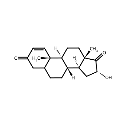 C[C@]12C=CC(=O)CC1CC[C@@H]1[C@@H]2CC[C@]2(C)C(=O)[C@H](O)C[C@@H]12